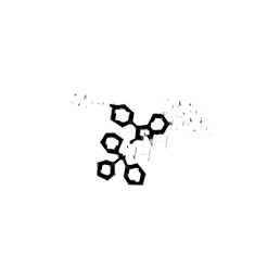 COc1ccc(-c2c(CNC(c3ccccc3)(c3ccccc3)c3ccccc3)[nH]c3cc(OC)c(OC)cc23)cc1